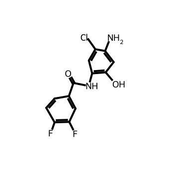 Nc1cc(O)c(NC(=O)c2ccc(F)c(F)c2)cc1Cl